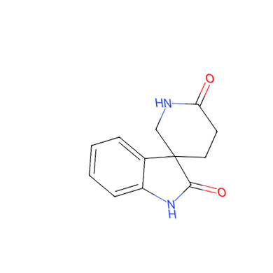 O=C1CCC2(CN1)C(=O)Nc1ccccc12